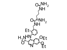 CCOc1cc2ncc(C(N)=O)c(Nc3cccc(CNC(=O)[C@@H](N)CCCNC(N)=O)c3CC)c2cc1OCC